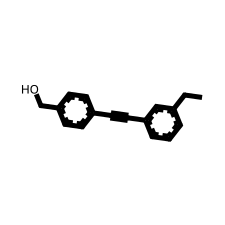 CCc1cccc(C#Cc2ccc(CO)cc2)c1